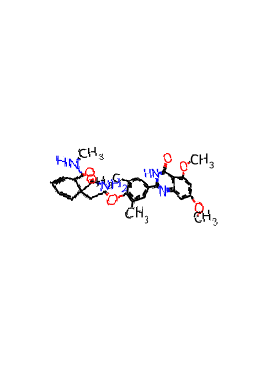 CNC(=O)C1C=CC=CC1(CCOc1c(C)cc(-c2nc3cc(OC)cc(OC)c3c(=O)[nH]2)cc1C)C(N)=O